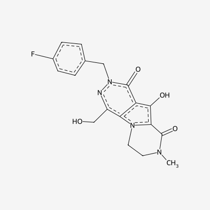 CN1CCn2c(c(O)c3c(=O)n(Cc4ccc(F)cc4)nc(CO)c32)C1=O